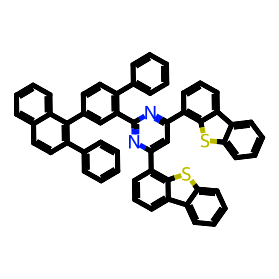 c1ccc(-c2ccc(-c3c(-c4ccccc4)ccc4ccccc34)cc2-c2nc(-c3cccc4c3sc3ccccc34)cc(-c3cccc4c3sc3ccccc34)n2)cc1